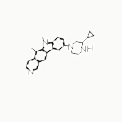 Cc1c2ccncc2cc2c3cc(N4CCNC(C5CC5)C4)ccc3n(C)c12